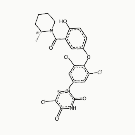 C[C@@H]1CCCCN1C(=O)c1cc(Oc2c(Cl)cc(-n3nc(Cl)c(=O)[nH]c3=O)cc2Cl)ccc1O